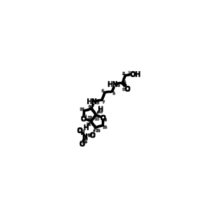 O=C(CO)NCCCN[C@@H]1CO[C@H]2[C@@H]1OC[C@@H]2O[N+](=O)[O-]